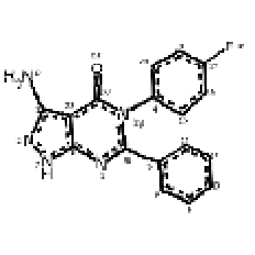 Nc1n[nH]c2nc(-c3ccccc3)n(-c3ccc(F)cc3)c(=O)c12